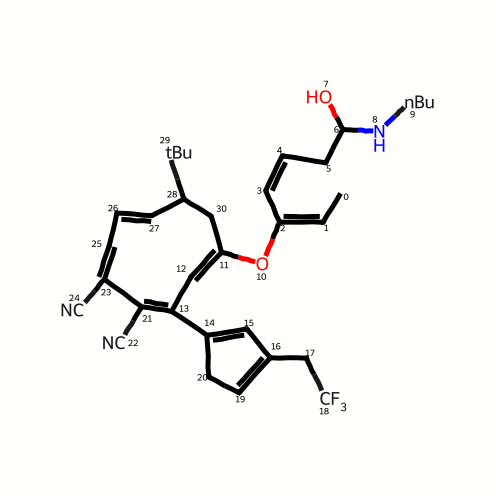 C/C=C(\C=C/CC(O)NCCCC)O\C1=C/C(C2=CC(CC(F)(F)F)=CC2)=C(C#N)\C(C#N)=C/C=C/C(C(C)(C)C)C1